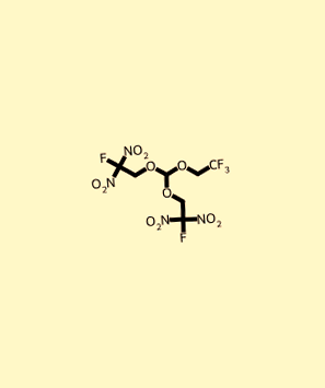 O=[N+]([O-])C(F)(CO[C](OCC(F)(F)F)OCC(F)([N+](=O)[O-])[N+](=O)[O-])[N+](=O)[O-]